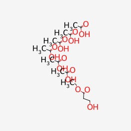 CC(=O)O.CC(=O)O.CC(=O)O.CC(=O)O.CC(=O)O.CC(=O)O.CCOC(=O)CCO